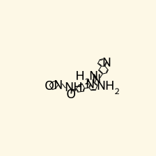 Nc1ccc(-c2ccc(C(=O)NCCN3CCOCC3)cc2)nc1N(N)Cc1ccc2ncccc2c1